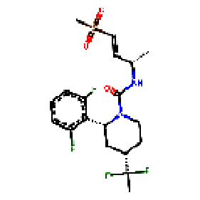 C[C@@H](/C=C/S(C)(=O)=O)NC(=O)N1CC[C@H](C(C)(F)F)C[C@@H]1c1c(F)cccc1F